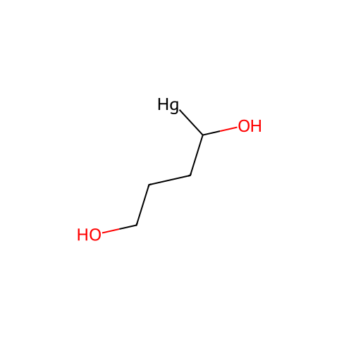 OCCC[CH](O)[Hg]